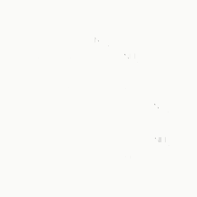 Nc1c(Sc2cc(Oc3ccccc3)c(Oc3ccccc3)c(N)c2N)cc(Oc2ccccc2)c(Oc2ccccc2)c1N